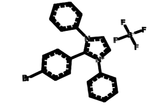 Brc1ccc(-c2n(-c3ccccc3)cc[n+]2-c2ccccc2)cc1.F[B-](F)(F)F